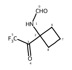 O=CNC1(C(=O)C(F)(F)F)CCC1